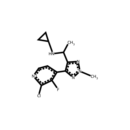 CC(NC1CC1)c1nn(C)nc1-c1ccnc(Cl)c1F